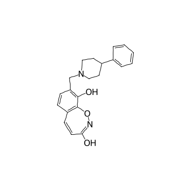 OC1=NOc2c(ccc(CN3CCC(c4ccccc4)CC3)c2O)C=C1